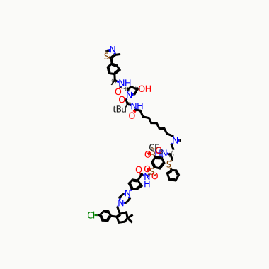 Cc1ncsc1-c1ccc([C@H](C)NC(=O)[C@@H]2C[C@@H](O)CN2C(=O)[C@@H](NC(=O)CCCCCCCCCN(C)CC[C@H](CSc2ccccc2)Nc2ccc(S(=O)(=O)NC(=O)c3ccc(N4CCN(CC5=C(c6ccc(Cl)cc6)CCC(C)(C)C5)CC4)cc3)cc2S(=O)(=O)C(F)(F)F)C(C)(C)C)cc1